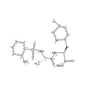 COC(=O)[C@H](Cc1ccc(Cl)cn1)NC(=O)[C@H](C)NS(=O)(=O)c1ccccc1[N+](=O)[O-]